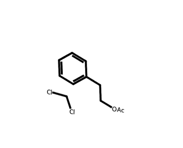 CC(=O)OCCc1ccccc1.ClCCl